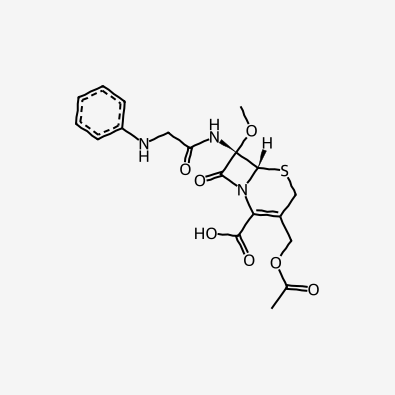 CO[C@@]1(NC(=O)CNc2ccccc2)C(=O)N2C(C(=O)O)=C(COC(C)=O)CS[C@H]21